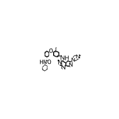 Cc1cc(Nc2ncnc3cnc(N4CCN(C)CC4)cc23)ccc1Oc1cccc(C(=O)NC2CCCCC2)c1